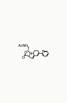 CC(=O)NC[C@@H]1OC(=O)C2CC=C3C=C(c4ccccn4)CCC3N21